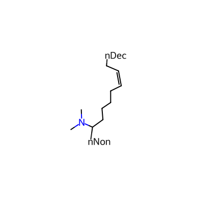 CCCCCCCCCCC/C=C\CCCCC(CCCCCCCCC)N(C)C